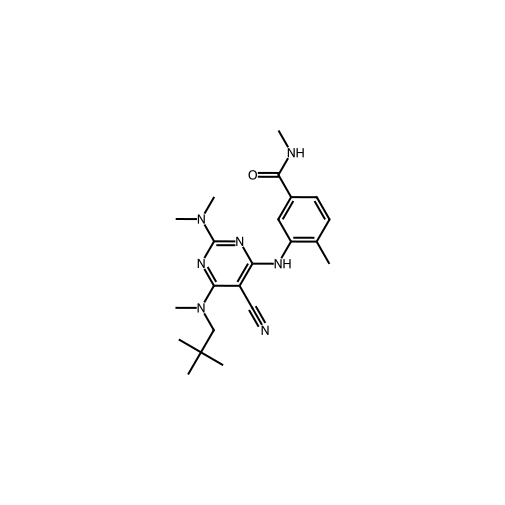 CNC(=O)c1ccc(C)c(Nc2nc(N(C)C)nc(N(C)CC(C)(C)C)c2C#N)c1